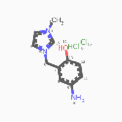 Cl.Cn1cc[n+](Cc2cc(N)ccc2O)c1.[Cl-]